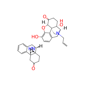 C=CCN1CC[C@]23c4c5ccc(O)c4O[C@H]2C(=O)CC[C@@]3(O)[C@H]1C5.O=C1CC[C@H]2[C@H]3Cc4ccccc4[C@@]2(CCN3)C1